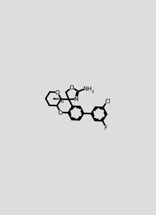 C[C@]12OCCCC1Oc1ccc(-c3cc(F)cc(Cl)c3)cc1C21COC(N)=N1